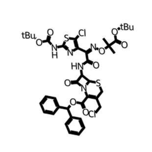 CC(C)(C)OC(=O)Nc1nc(/C(=N/OC(C)(C)C(=O)OC(C)(C)C)C(=O)NC2C(=O)N3C(C(=O)OC(c4ccccc4)c4ccccc4)=C(CCl)CSC23)c(Cl)s1